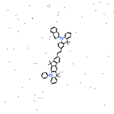 CC1(C)c2cc(/C=C/c3ccc4c(c3)C(C)(C)c3ccccc3N4c3ccc4ccccc4c3)ccc2-c2cc3c(cc21)N(c1ccccc1)c1ccccc1C3(C)C